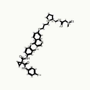 CCN(C)CC(=O)OC[C@@H]1CCCN1CCCOc1ccc2c(Oc3ccc(NC(=O)C4(C(=O)Nc5ccc(F)cc5)CC4)cc3F)ccnc2c1